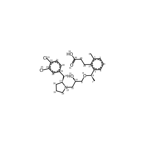 Cc1cccc([C@@H](C)OC[C@H](O)CN2CCC[C@H]2Cc2ccc(Cl)c(Cl)c2)c1CCC(=O)O